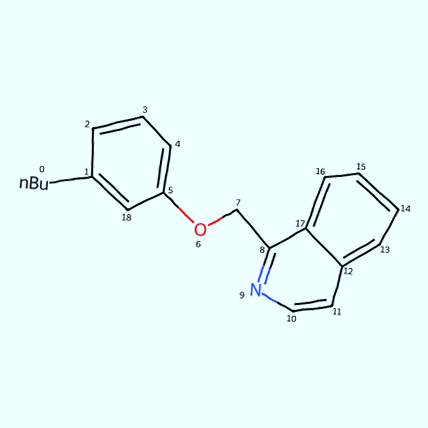 CCCCc1cccc(OCc2nccc3ccccc23)c1